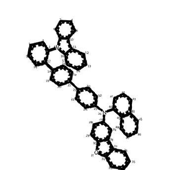 c1ccc(-n2c3ccccc3c3ccccc32)c(-c2ccc(-c3ccc(N(c4ccc5oc6ccccc6c5c4)c4cccc5ccccc45)cc3)cc2)c1